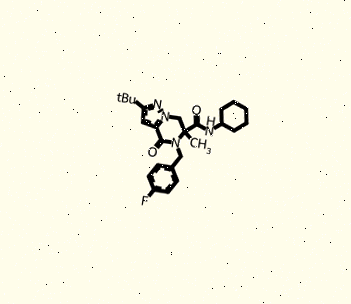 CC(C)(C)c1cc2n(n1)CC(C)(C(=O)NC1CCCCC1)N(Cc1ccc(F)cc1)C2=O